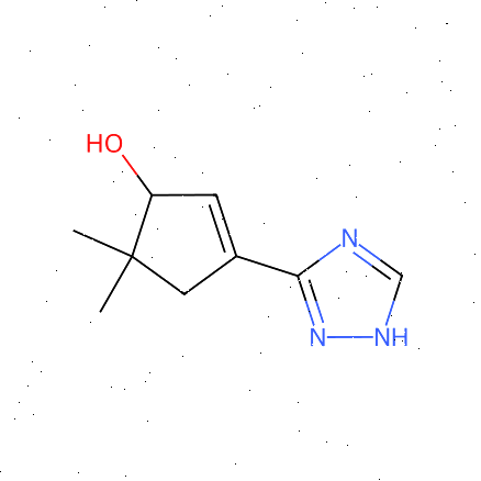 CC1(C)CC(c2nc[nH]n2)=CC1O